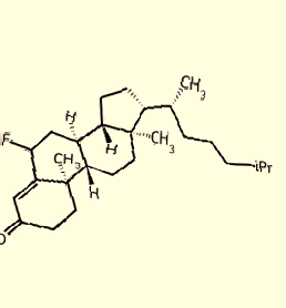 CC(C)CCC[C@@H](C)[C@H]1CC[C@H]2[C@@H]3CC(F)C4=CC(=O)CC[C@]4(C)[C@H]3CC[C@]12C